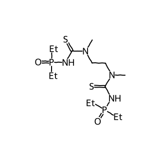 CCP(=O)(CC)NC(=S)N(C)CCN(C)C(=S)NP(=O)(CC)CC